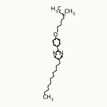 CCCCCCCCCCCc1cnc(-c2ccc(OCCCCC[C@@H](C)CC)cc2)nc1